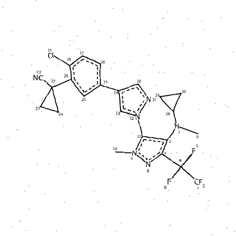 CN(c1c(C(F)(F)C(F)(F)F)nn(C)c1-n1cc(-c2ccc(Cl)c(C3(C#N)CC3)c2)cn1)C1CC1